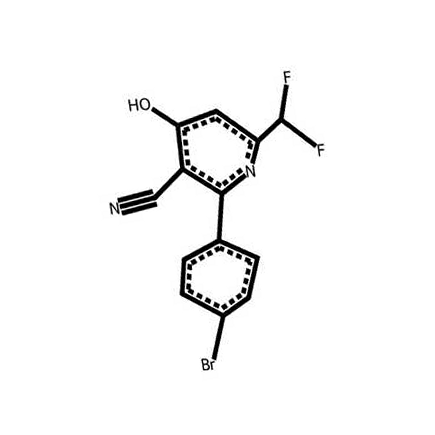 N#Cc1c(O)cc(C(F)F)nc1-c1ccc(Br)cc1